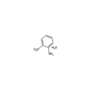 O.O=[N+]([O-])c1ccccc1[N+](=O)[O-]